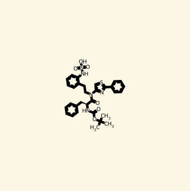 CC(C)(C)OC(=O)N[C@@H](Cc1ccccc1)C(=O)N(CCc1ccccc1NS(=O)(=O)O)c1csc(-c2ccccc2)n1